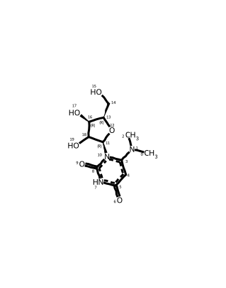 CN(C)c1cc(=O)[nH]c(=O)n1[C@@H]1O[C@H](CO)[C@H](O)C1O